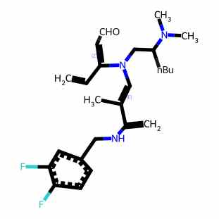 C=C/C(=C/C=O)N(/C=C(\C)C(=C)NCc1ccc(F)c(F)c1)CC(CCCC)N(C)C